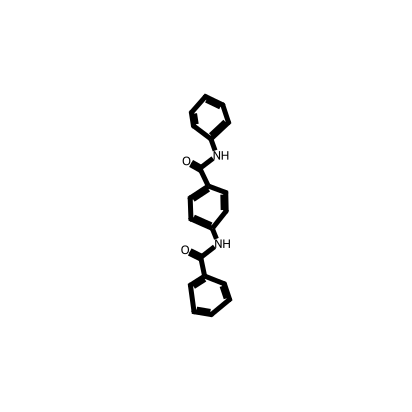 O=C(Nc1ccc(C(=O)Nc2ccccc2)cc1)c1ccccc1